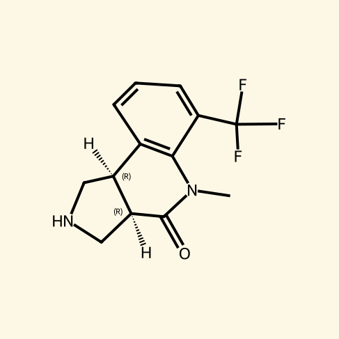 CN1C(=O)[C@H]2CNC[C@H]2c2cccc(C(F)(F)F)c21